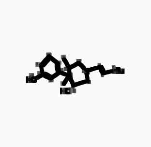 CCCCC=CN1CCC(C)(c2cccc(O)c2)C(C)C1.Cl